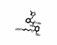 Br.CCCCCCCCCCCCCCOc1c(NC(=O)c2ccccc2CN2C=C(C)SC2)cccc1C(C)(C)C